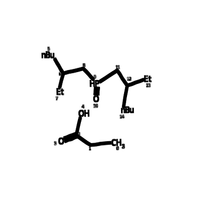 CCC(=O)O.CCCCC(CC)C[PH](=O)CC(CC)CCCC